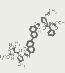 COC[C@H]1C[C@@H](c2nc3ccc4cc(-c5ccc6c(ccc7nc([C@@H]8C[C@H](C)CN8C(=O)[C@@H](NC(=O)OC)C(C)C)[nH]c76)c5)ccc4c3[nH]2)N(C(=O)[C@H](NC(=O)OC)c2ccccc2)C1